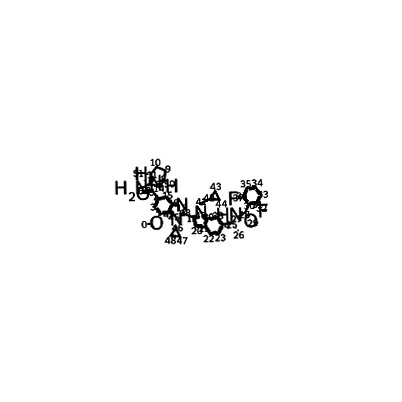 COc1cc(C(=O)N2[C@H]3CC[C@@H]2[C@H](N)C3)cc2nc(-c3cc4ccc([C@@H](C)NC(=O)c5c(F)cccc5F)cc4n3CC3CC3)n(C3CC3)c12